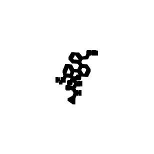 CCOCc1ccccc1-c1ccccc1-c1cccc(N)c1S(=O)(=O)NC(=O)NC1CC1